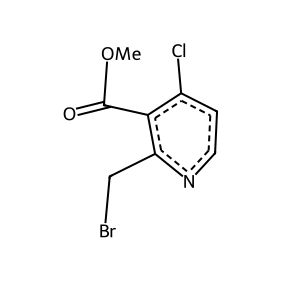 COC(=O)c1c(Cl)ccnc1CBr